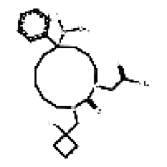 CN(C)[C@]1(c2ccccc2)CCCCCN(CC2(O)CCC2)C(=O)N(CC(N)=O)CCC1